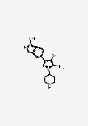 Cc1c(Br)c(-c2ccc3c(cnn3C)c2)nn1C1CCNCC1